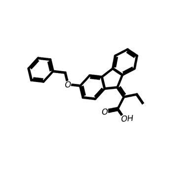 CC/C(C(=O)O)=C1\c2ccccc2-c2cc(OCc3ccccc3)ccc21